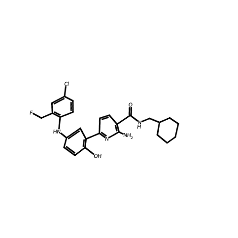 Nc1nc(-c2cc(Nc3ccc(Cl)cc3CF)ccc2O)ccc1C(=O)NCC1CCCCC1